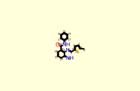 Cc1ccc(C=NC2=C(C(=O)Nc3ccccc3)C=CCC2=N)s1